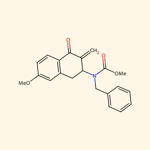 C=C1C(=O)c2ccc(OC)cc2CC1N(Cc1ccccc1)C(=O)OC